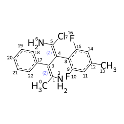 C/C(N)=C(/C(=C(\N)Cl)c1c(F)cc(C)cc1F)c1ccccc1